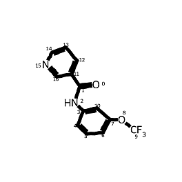 O=C(Nc1cccc(OC(F)(F)F)c1)c1cccnc1